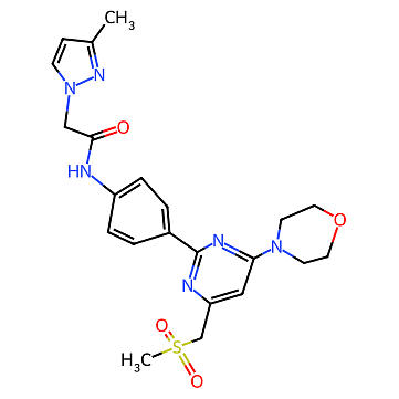 Cc1ccn(CC(=O)Nc2ccc(-c3nc(CS(C)(=O)=O)cc(N4CCOCC4)n3)cc2)n1